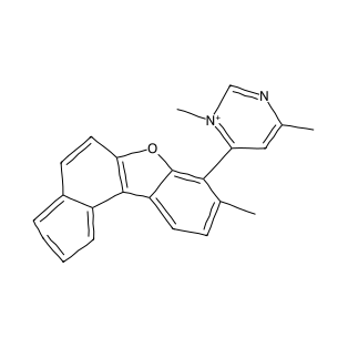 Cc1cc(-c2c(C)ccc3c2oc2ccc4ccccc4c23)[n+](C)cn1